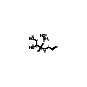 C=CCOC(C)(C)C(O)CO.Cl.N